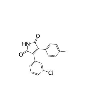 Cc1ccc(C2=C(c3cccc(Cl)c3)C(=O)NC2=O)cc1